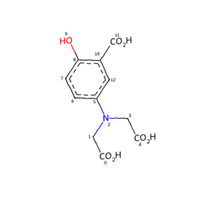 O=C(O)CN(CC(=O)O)c1ccc(O)c(C(=O)O)c1